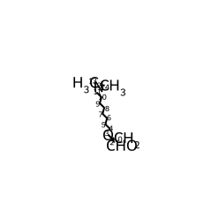 C=C(C=O)OCCCCCCCCN(C)C